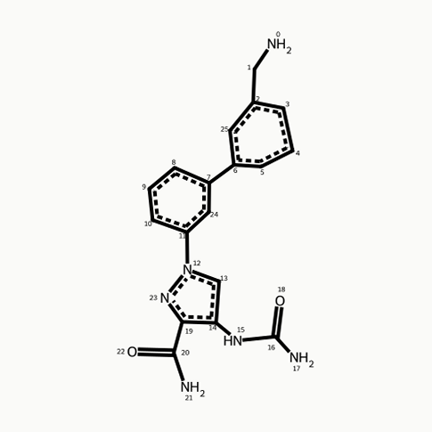 NCc1cccc(-c2cccc(-n3cc(NC(N)=O)c(C(N)=O)n3)c2)c1